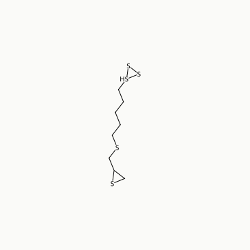 C(CCSCC1CS1)CC[SH]1SS1